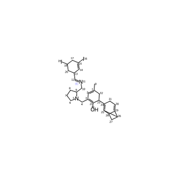 CC1=CC(CN2CCCC2C/N=C/C2C=C(I)CC(I)C2)=C(O)C(C2=C3C4CC3C4=CC2)C1